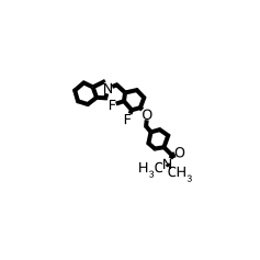 CN(C)C(=O)C1CCC(COC2CCC(CN3CC4CCCCC4C3)C(F)C2F)CC1